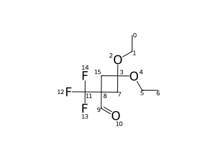 CCOC1(OCC)CC(C=O)(C(F)(F)F)C1